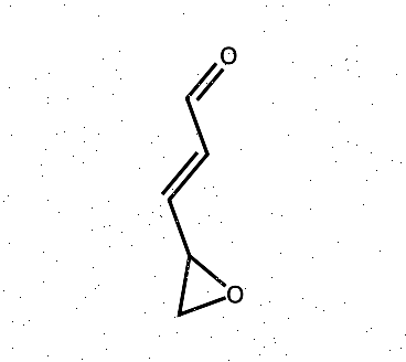 O=CC=CC1CO1